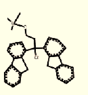 CCC(CCO[Si](C)(C)C)(c1cccc2c1Cc1ccccc1-2)c1cccc2c1Cc1ccccc1-2